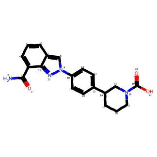 NC(=O)c1cccc2cn(-c3ccc(C4CCCN(C(=O)O)C4)cc3)nc12